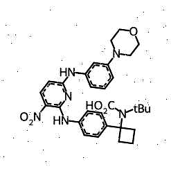 CC(C)(C)N(C(=O)O)C1(c2ccc(Nc3nc(Nc4cccc(N5CCOCC5)c4)ccc3[N+](=O)[O-])cc2)CCC1